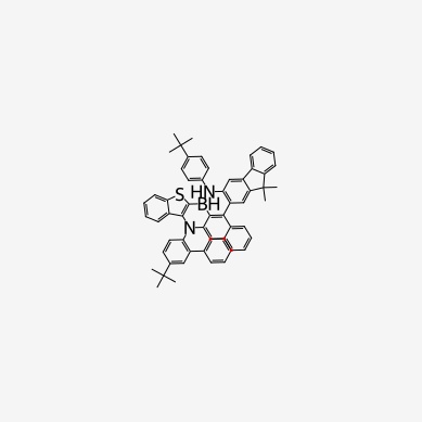 CC(C)(C)c1ccc(Nc2cc3c(cc2-c2c4c(cc5ccccc25)N(c2ccc(C(C)(C)C)cc2-c2ccccc2)c2c(sc5ccccc25)B4)C(C)(C)c2ccccc2-3)cc1